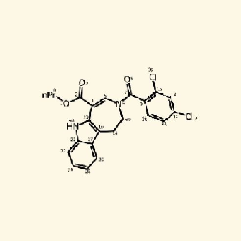 CCCOC(=O)C1=CN(C(=O)c2ccc(Cl)cc2Cl)CCc2c1[nH]c1ccccc21